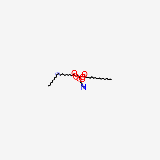 CCCCCCCC/C=C\CCCCCCCC(=O)OCC(COC(=O)CCCCCCCCCCCCCCC)OC(=O)CCCN(C)C